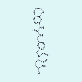 O=C1CCC(N2Cc3cc(CNC(=O)Nc4ccc5c(c4)OCCO5)ccc3C2=O)C(=O)N1